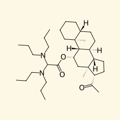 CCCN(CCC)C(C(=O)O[C@H]1C[C@]2(C)[C@@H](C(C)=O)CC[C@H]2[C@@H]2CC[C@H]3CCCC[C@]3(C)[C@H]21)N(CCC)CCC